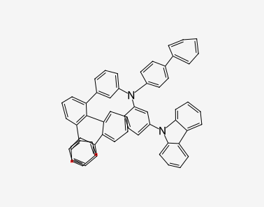 c1ccc(-c2ccc(N(c3cccc(-c4cccc(-c5ccccc5)c4-c4ccccc4-c4ccccc4)c3)c3cccc(-n4c5ccccc5c5ccccc54)c3)cc2)cc1